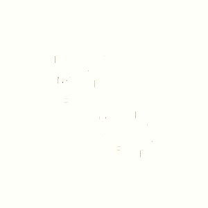 FC(C(F)(F)F)C(F)(F)COCC(F)(F)C(N(F)F)C(F)(F)F